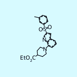 CCOC(=O)C1CCN(c2cccc3cc(S(=O)(=O)c4cccc(C)c4)cnc23)CC1